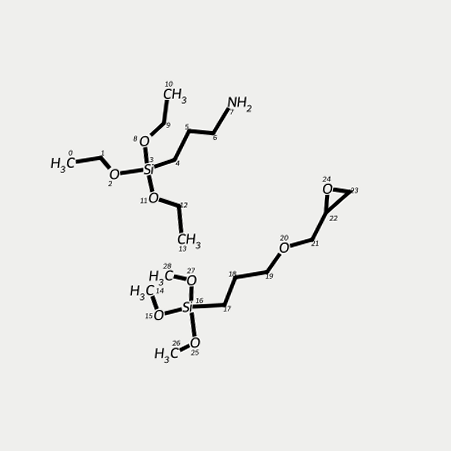 CCO[Si](CCCN)(OCC)OCC.CO[Si](CCCOCC1CO1)(OC)OC